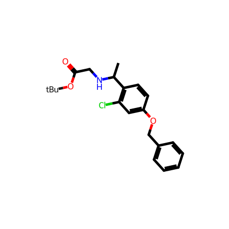 CC(NCC(=O)OC(C)(C)C)c1ccc(OCc2ccccc2)cc1Cl